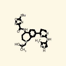 Cc1n[nH]cc1Nc1nccc(-c2ccc3c(c2)CN(C[C@@H](C)O)CCC3NC(=O)c2noc(C(C)(C)C)n2)n1